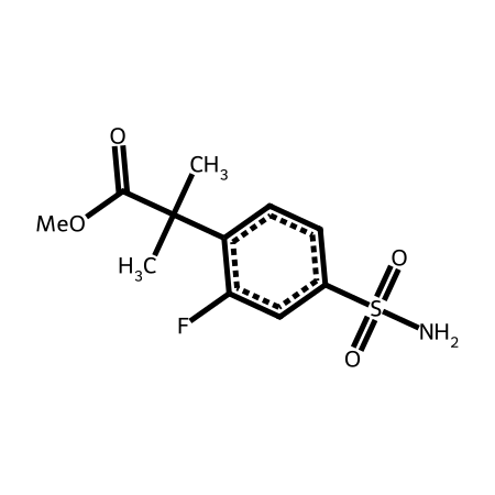 COC(=O)C(C)(C)c1ccc(S(N)(=O)=O)cc1F